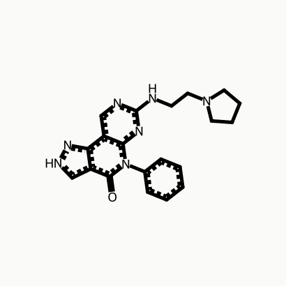 O=c1c2c[nH]nc2c2cnc(NCCN3CCCC3)nc2n1-c1ccccc1